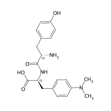 CN(C)c1ccc(C[C@H](NC(=O)[C@@H](N)Cc2ccc(O)cc2)C(=O)O)cc1